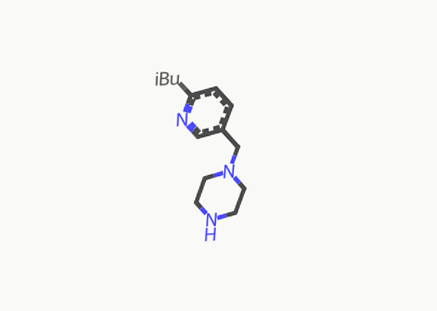 CCC(C)c1ccc(CN2CCNCC2)cn1